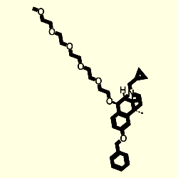 COCCOCCOCCOCCOCCO[C@@H]1c2ccc(OCc3ccccc3)cc2[C@]2(C)CCN(CC3CC3)[C@H]1[C@@H]2C